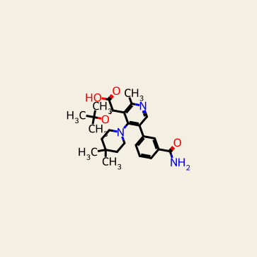 Cc1ncc(-c2cccc(C(N)=O)c2)c(N2CCC(C)(C)CC2)c1[C@H](OC(C)(C)C)C(=O)O